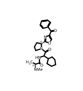 CN[C@@H](C)C(=O)NC(C(=O)N1CCC[C@H]1c1nc(C(=O)c2ccccc2)co1)C1CCCCC1